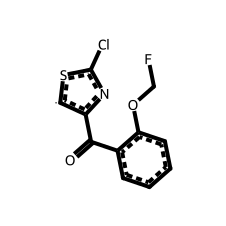 O=C(c1[c]sc(Cl)n1)c1ccccc1OCF